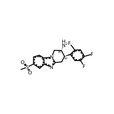 CS(=O)(=O)c1ccc2c(c1)nc1n2C[C@H](N)[C@@H](c2cc(F)c(F)cc2F)C1